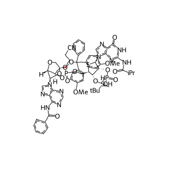 COc1ccc(C(OC[C@@]23CO[C@@H]([C@H](n4cnc5c(NC(=O)c6ccccc6)ncnc54)O2)[C@@H]3OP(=O)(OCCC#N)OC[C@H]2S[C@@H](n3cnc4c(=O)[nH]c(NC(=O)C(C)C)nc43)[C@H](O[PH](=O)O)[C@@H]2O[Si](C)(C)C(C)(C)C)(c2ccccc2)c2ccc(OC)cc2)cc1